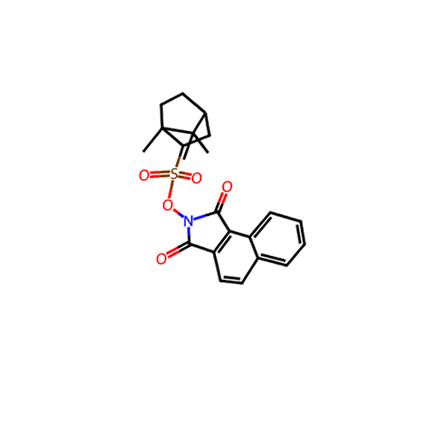 CC1(C)C2CCC1(C)C(S(=O)(=O)ON1C(=O)c3ccc4ccccc4c3C1=O)C2